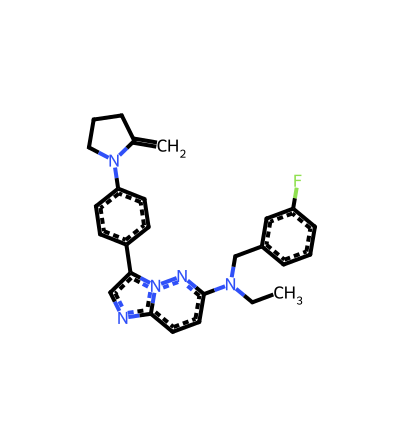 C=C1CCCN1c1ccc(-c2cnc3ccc(N(CC)Cc4cccc(F)c4)nn23)cc1